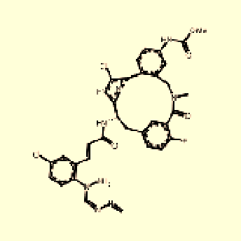 C=N/N=C\N(N)c1ccc(Cl)cc1/C=C/C(=O)N[C@H]1Cc2ccc(F)c(c2)C(=O)N(C)Cc2cc(NC(=O)OC)ccc2-c2nc1[nH]c2Cl